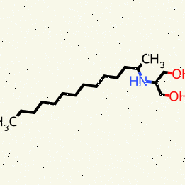 CCCCCCCCCCCCC(C)NC(CO)CO